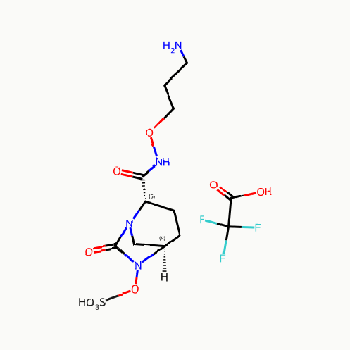 NCCCONC(=O)[C@@H]1CC[C@@H]2CN1C(=O)N2OS(=O)(=O)O.O=C(O)C(F)(F)F